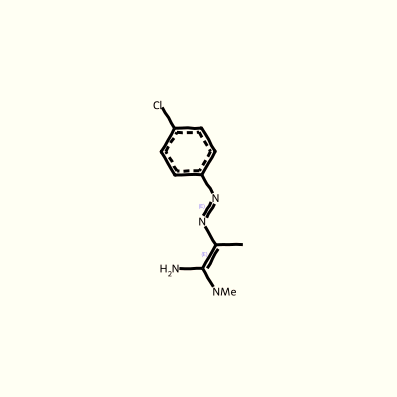 CN/C(N)=C(C)/N=N/c1ccc(Cl)cc1